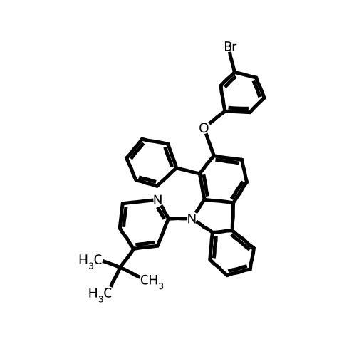 CC(C)(C)c1ccnc(-n2c3ccccc3c3ccc(Oc4cccc(Br)c4)c(-c4ccccc4)c32)c1